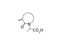 C=C1CCCCCN(C(C)C(=O)O)C1=O